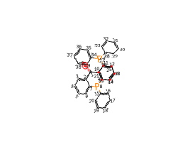 O=C(c1ccccc1P(c1ccccc1)c1ccccc1)c1ccccc1P(c1ccccc1)c1ccccc1